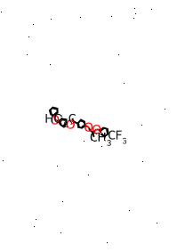 CC(COc1ccc(C(Oc2ccc(Oc3ccccc3)cc2)C(=O)O)cc1)Oc1ccc(C(F)(F)F)cc1